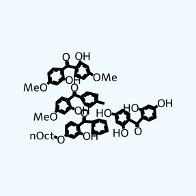 CCCCCCCCOc1ccc(C(=O)c2ccccc2)c(O)c1.COc1ccc(C(=O)c2ccc(C)cc2)c(O)c1.COc1ccc(C(=O)c2ccc(OC)cc2O)c(O)c1.O=C(c1ccc(O)cc1O)c1ccc(O)cc1O